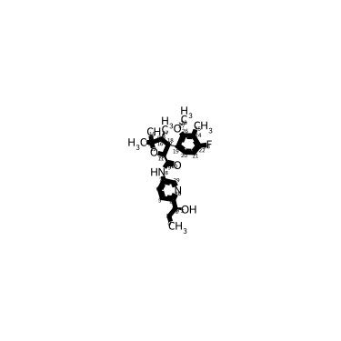 CC[C@H](O)c1ccc(NC(=O)[C@H]2OC(C)(C)[C@H](C)[C@@H]2c2ccc(F)c(C)c2OC)cn1